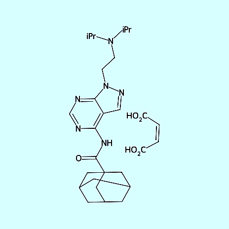 CC(C)N(CCn1ncc2c(NC(=O)C34CC5CC(CC(C5)C3)C4)ncnc21)C(C)C.O=C(O)/C=C\C(=O)O